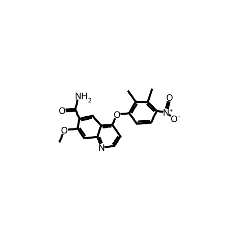 COc1cc2nccc(Oc3ccc([N+](=O)[O-])c(C)c3C)c2cc1C(N)=O